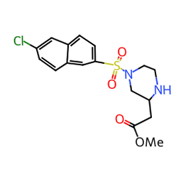 COC(=O)CC1CN(S(=O)(=O)c2ccc3cc(Cl)ccc3c2)CCN1